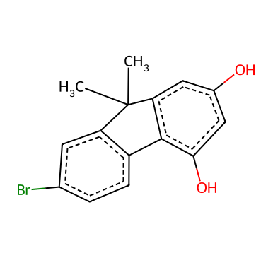 CC1(C)c2cc(Br)ccc2-c2c(O)cc(O)cc21